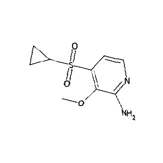 COc1c(S(=O)(=O)C2CC2)ccnc1N